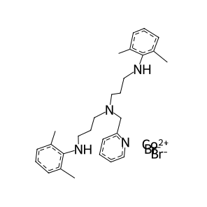 Cc1cccc(C)c1NCCCN(CCCNc1c(C)cccc1C)Cc1ccccn1.[Br-].[Br-].[Co+2]